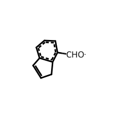 O=[C]c1cccc2c1CC=C2